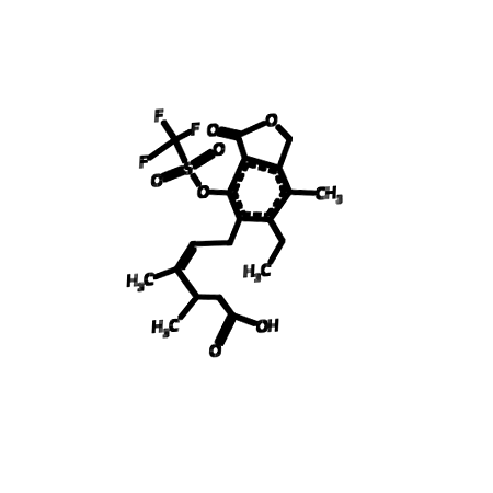 CCc1c(C)c2c(c(OS(=O)(=O)C(F)(F)F)c1CC=C(C)C(C)CC(=O)O)C(=O)OC2